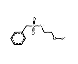 CC(C)OCCNS(=O)(=O)Cc1ccccc1